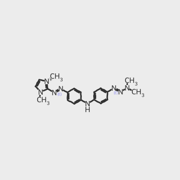 CN(C)/N=N/c1ccc(Nc2ccc(/N=N/c3n(C)cc[n+]3C)cc2)cc1